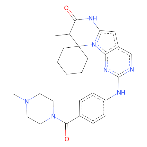 CC1C(=O)Nc2cc3cnc(Nc4ccc(C(=O)N5CCN(C)CC5)cc4)nc3n2C12CCCCC2